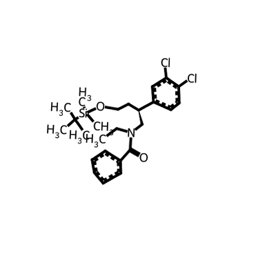 CCN(C[C@@H](CCO[Si](C)(C)C(C)(C)C)c1ccc(Cl)c(Cl)c1)C(=O)c1ccccc1